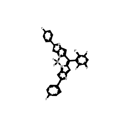 Fc1ccc(-c2cc3c(o2)=CC2=C(c4c(F)c(F)cc(F)c4F)c4cc5oc(-c6ccc(F)cc6)cc5n4[B-](F)(F)[N+]=32)cc1